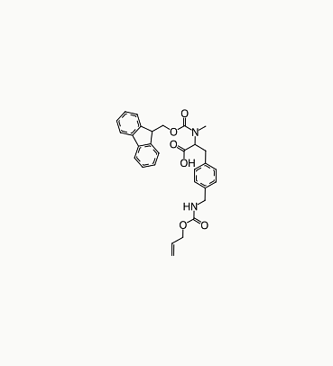 C=CCOC(=O)NCc1ccc(CC(C(=O)O)N(C)C(=O)OCC2c3ccccc3-c3ccccc32)cc1